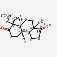 C[C@]1(CC(=O)O)C(=O)CC[C@@H]2[C@@H]1CC[C@]1(C)C(=O)CC[C@@H]21